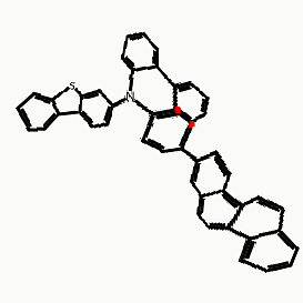 c1ccc(-c2ccccc2N(c2ccc(-c3ccc4c(ccc5c6ccccc6ccc45)c3)cc2)c2ccc3c(c2)sc2ccccc23)cc1